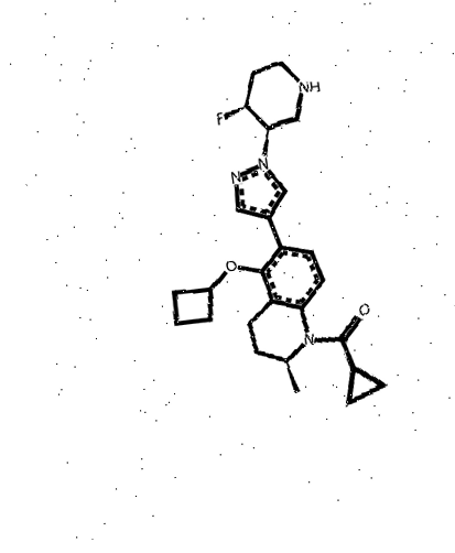 C[C@H]1CCc2c(ccc(-c3cnn([C@@H]4CNCC[C@@H]4F)c3)c2OC2CCC2)N1C(=O)C1CC1